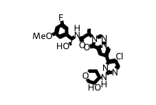 COc1cc(F)cc([C@@H](CO)NC(=O)C(C)n2cnn3cc(-c4nc(N[C@@H]5CCOC[C@H]5O)ncc4Cl)cc3c2=O)c1